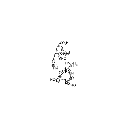 N=C(N)NCCC[C@@H]1NC(=O)[C@H](CCCCNC(=S)Nc2ccc(CCCC(CN3CCN(CC(=O)O)CCN(CC(=O)O)CC3)N(COC=O)CC(=O)O)cc2)NC[C@@H](Cc2ccc(O)cc2)NC(=O)[C@H](COC=O)NC(=O)CNC1=O